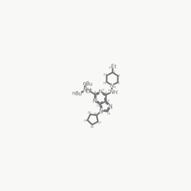 CCC1CCN(Nc2nc(Cl)nc3c2ncn3C2CCCC2)CC1.CCCCNCCCC